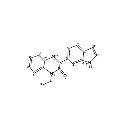 CCn1c(=O)c(-c2ccc3cc[nH]c3c2)nc2ccccc21